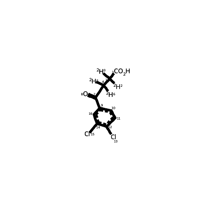 [2H]C([2H])(C(=O)O)C([2H])([2H])C(=O)c1ccc(Cl)c(Cl)c1